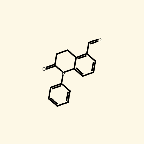 O=Cc1cccc2c1CCC(=O)N2c1ccccc1